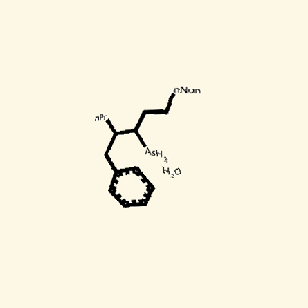 CCCCCCCCCCCC([AsH2])C(CCC)Cc1ccccc1.O